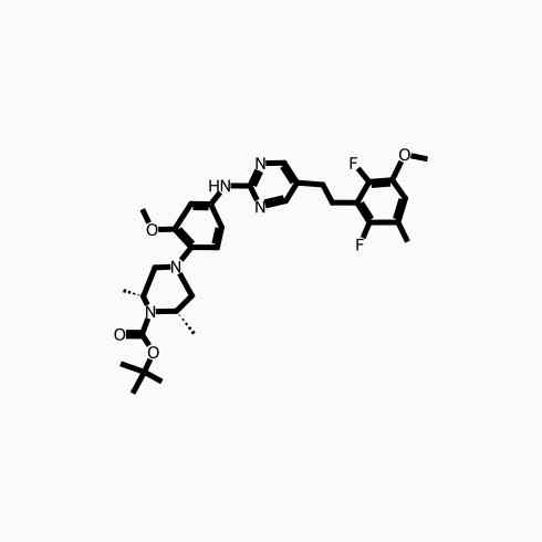 COc1cc(Nc2ncc(CCc3c(F)c(C)cc(OC)c3F)cn2)ccc1N1C[C@@H](C)N(C(=O)OC(C)(C)C)[C@@H](C)C1